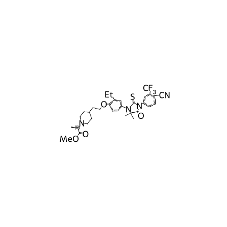 CCc1cc(N2C(=S)N(c3ccc(C#N)c(C(F)(F)F)c3)C(=O)C2(C)C)ccc1OCCC1CCN([C@H](C)C(=O)OC)CC1